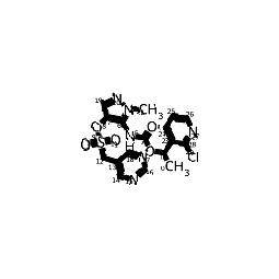 CC(OC(=O)Nc1c(OS(=O)(=O)Cc2cncnc2)cnn1C)c1cccnc1Cl